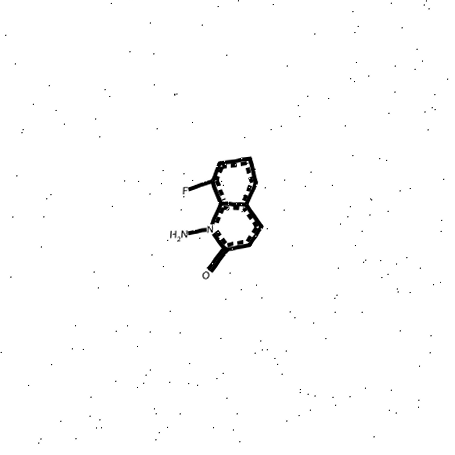 Nn1c(=O)ccc2cccc(F)c21